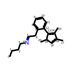 CCCCN=CCc1ccccc1C1=C(C)C(C)=CC1C